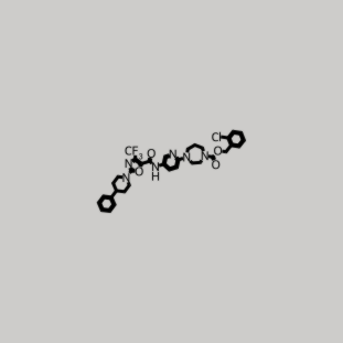 O=C(Nc1ccc(N2CCCN(C(=O)OCc3ccccc3Cl)CC2)nc1)c1oc(N2CCC(c3ccccc3)CC2)nc1C(F)(F)F